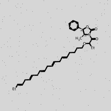 CCC=CCC=CCC=CCC=CCC=CCCCCOC(CC)C(=O)N1C(=O)O[C@H](c2ccccc2)[C@@H]1C